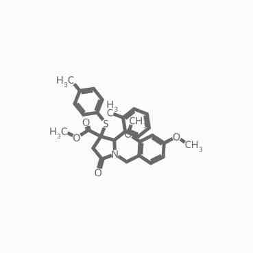 COC(=O)C1(Sc2ccc(C)cc2)CC(=O)N(Cc2ccc(OC)cc2OC)C1c1ccccc1C